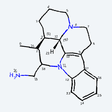 CC[C@]12CCCN3CCc4c(n(c5ccccc45)C(CN)C1)[C@@H]32